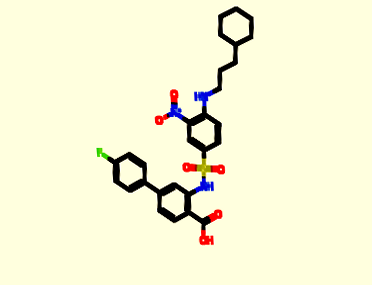 O=C(O)c1ccc(-c2ccc(F)cc2)cc1NS(=O)(=O)c1ccc(NCCCC2CCCCC2)c([N+](=O)[O-])c1